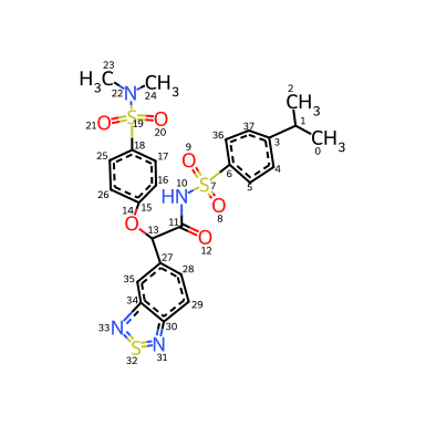 CC(C)c1ccc(S(=O)(=O)NC(=O)C(Oc2ccc(S(=O)(=O)N(C)C)cc2)c2ccc3nsnc3c2)cc1